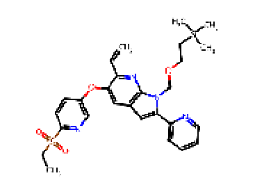 C=Cc1nc2c(cc1Oc1ccc(S(=O)(=O)CC)nc1)cc(-c1ccccn1)n2COCC[Si](C)(C)C